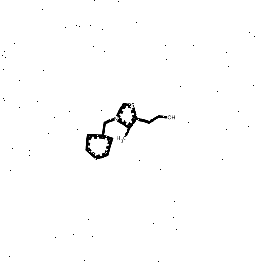 Cc1c(CCO)sc[n+]1Cc1ccccc1